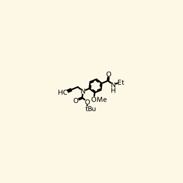 C#CCN(C(=O)OC(C)(C)C)c1ccc(C(=O)NCC)cc1OC